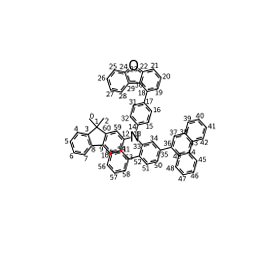 CC1(C)c2ccccc2-c2ccc(N(c3ccc(-c4cccc5oc6ccccc6c45)cc3)c3cc(-c4cc5ccccc5c5ccccc45)ccc3-c3ccccc3)cc21